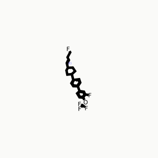 FCC/C=C/C1CCC(c2ccc(-c3ccc(OC(F)(F)F)c(F)c3)cc2)CC1